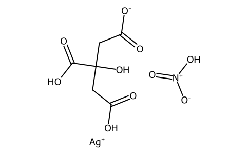 O=C([O-])CC(O)(CC(=O)O)C(=O)O.O=[N+]([O-])O.[Ag+]